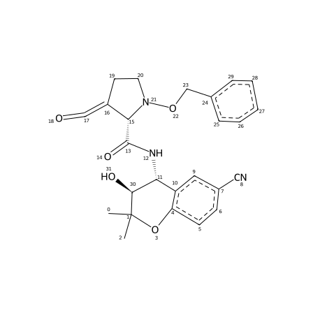 CC1(C)Oc2ccc(C#N)cc2[C@@H](NC(=O)[C@@H]2C(=C=O)CCN2OCc2ccccc2)[C@@H]1O